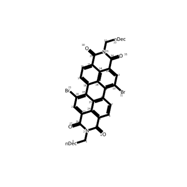 CCCCCCCCCCCN1C(=O)c2ccc3c4c(Br)cc5c6c(ccc(c7c(Br)cc(c2c37)C1=O)c64)C(=O)N(CCCCCCCCCCC)C5=O